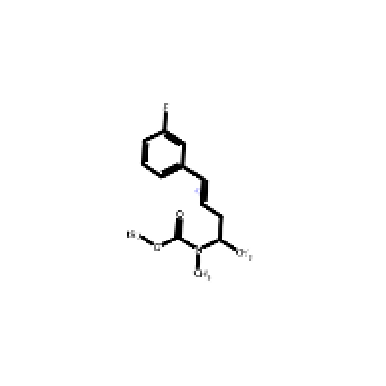 CC(C/C=C/c1cccc(F)c1)N(C)C(=O)OC(C)(C)C